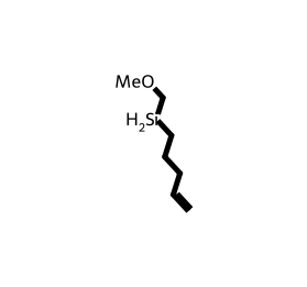 C=CCCC[SiH2]COC